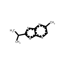 Cc1cnc2nc(C(C)C)sc2n1